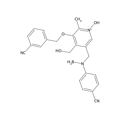 BN(Cc1c[n+](O)c(C)c(OCc2cccc(C#N)c2)c1CO)c1ccc(C#N)cc1